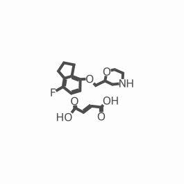 Fc1ccc(OCC2CNCCO2)c2c1CCC2.O=C(O)C=CC(=O)O